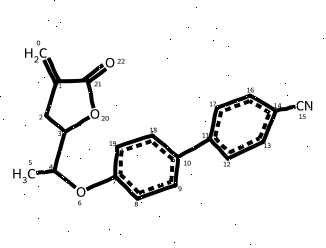 C=C1CC(C(C)Oc2ccc(-c3ccc(C#N)cc3)cc2)OC1=O